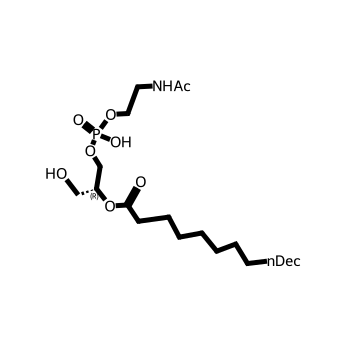 CCCCCCCCCCCCCCCCCC(=O)O[C@H](CO)COP(=O)(O)OCCNC(C)=O